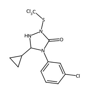 O=C1N(SC(Cl)(Cl)Cl)NC(C2CC2)N1c1cccc(Cl)c1